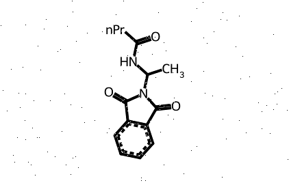 CCCC(=O)NC(C)N1C(=O)c2ccccc2C1=O